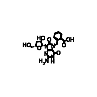 Nc1nc2c(c(=O)[nH]1)n(Cc1ccccc1C(=O)O)c(=O)n2[C@@H]1O[C@H](CO)C[C@H]1O